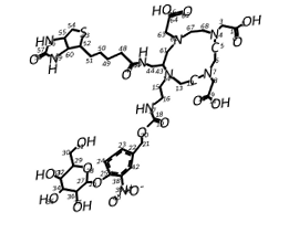 O=C(O)CN1CCN(CC(=O)O)CCN(CCNC(=O)OCc2ccc(OC3OC(CO)C(O)C(O)C3O)c([N+](=O)[O-])c2)C(CNC(=O)CCCCC2SCC3NC(=O)NC32)CN(CC(=O)O)CC1